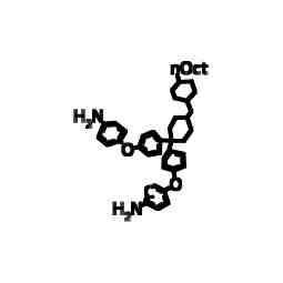 CCCCCCCCC1CCC(CC2CCC(c3ccc(Oc4ccc(N)cc4)cc3)(c3ccc(Oc4ccc(N)cc4)cc3)CC2)CC1